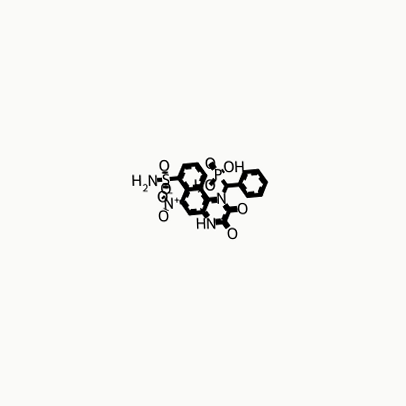 NS(=O)(=O)c1cccc2c1c([N+](=O)[O-])cc1[nH]c(=O)c(=O)n(C(c3ccccc3)P(=O)(O)O)c12